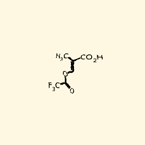 CC(=COC(=O)C(F)(F)F)C(=O)O